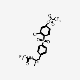 C[C@H](Cc1ccc(S(=O)(=O)c2ccc(OS(=O)(=O)C(F)(F)F)cc2Cl)cc1)NC(=O)C(F)(F)F